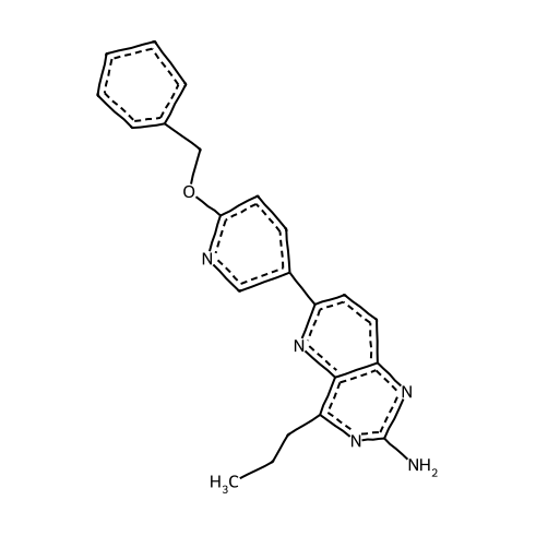 CCCc1nc(N)nc2ccc(-c3ccc(OCc4ccccc4)nc3)nc12